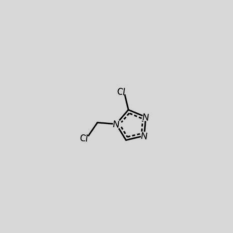 ClCn1cnnc1Cl